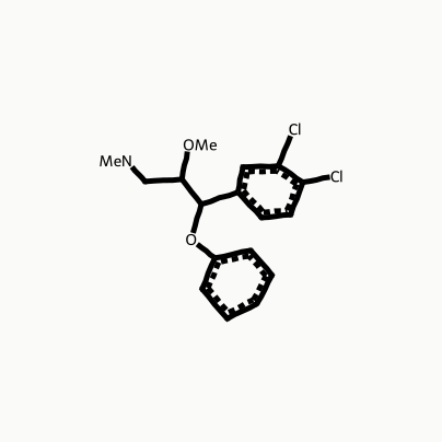 CNCC(OC)C(Oc1ccccc1)c1ccc(Cl)c(Cl)c1